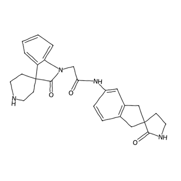 O=C(CN1C(=O)C2(CCNCC2)c2ccccc21)Nc1ccc2c(c1)CC1(CCNC1=O)C2